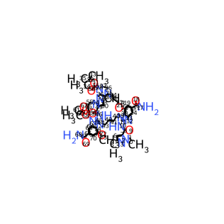 CCn1nc(C)cc1C(=O)Nc1nc2cc(C(N)=O)cc(OCCCN3CCN(C(=O)OC(C)(C)C)CC3)c2n1C/C=C/Cn1c(NC(=O)c2cc(C)nn2CC2COC(C)(C)O2)nc2cc(C(N)=O)cc(OC)c21